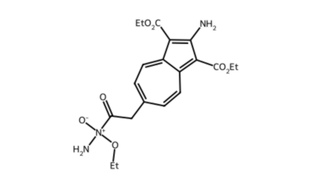 CCOC(=O)c1c2ccc(CC(=O)[N+](N)([O-])OCC)ccc-2c(C(=O)OCC)c1N